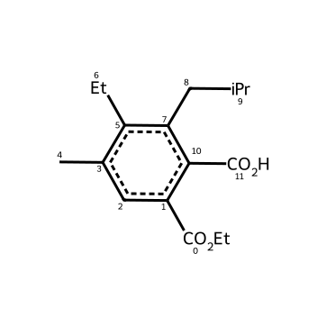 CCOC(=O)c1cc(C)c(CC)c(CC(C)C)c1C(=O)O